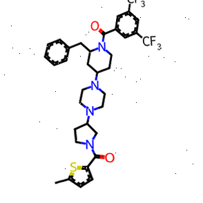 Cc1ccc(C(=O)N2CCC(N3CCN(C4CCN(C(=O)c5cc(C(F)(F)F)cc(C(F)(F)F)c5)C(Cc5ccccc5)C4)CC3)C2)s1